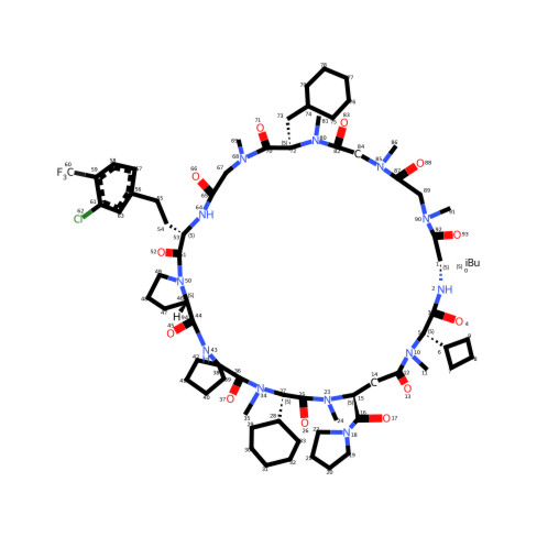 CC[C@H](C)[C@@H]1NC(=O)[C@H](C2CCC2)N(C)C(=O)C[C@@H](C(=O)N2CCCC2)N(C)C(=O)[C@H](C2CCCCC2)N(C)C(=O)C2(CCCC2)NC(=O)[C@@H]2CCCN2C(=O)[C@H](CCc2ccc(C(F)(F)F)c(Cl)c2)NC(=O)CN(C)C(=O)[C@H](CC2CCCCC2)N(C)C(=O)CN(C)C(=O)CN(C)C1=O